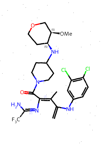 C=C(Nc1ccc(Cl)c(Cl)c1)/C(C)=C(\N=C(/N)C(F)(F)F)C(=O)N1CCC(N[C@H]2CCOC[C@H]2OC)CC1